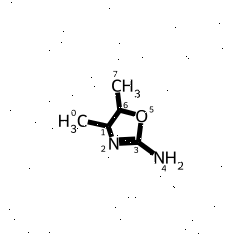 CC1N=C(N)OC1C